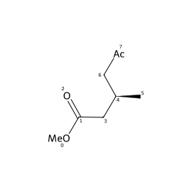 COC(=O)C[C@H](C)CC(C)=O